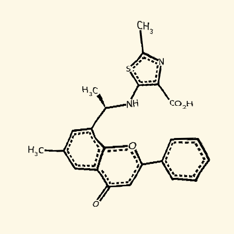 Cc1cc([C@@H](C)Nc2sc(C)nc2C(=O)O)c2oc(-c3ccccc3)cc(=O)c2c1